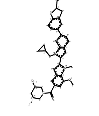 COc1cc(C(=O)N2C[C@H](N)C[C@@H](F)C2)cc2nc(-c3cc4ccc(-c5ccc6c(c5)CC(CO)O6)nc4n3CC3CC3)n(C)c12